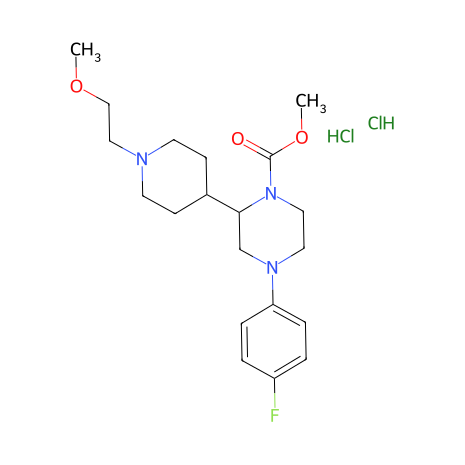 COCCN1CCC(C2CN(c3ccc(F)cc3)CCN2C(=O)OC)CC1.Cl.Cl